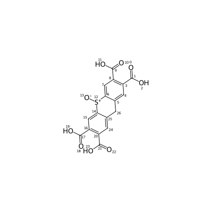 O=C(O)c1cc2c(cc1C(=O)O)[S+]([O-])c1cc(C(=O)O)c(C(=O)O)cc1C2